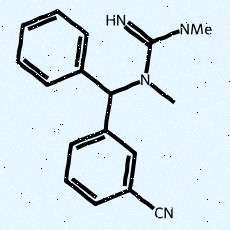 CNC(=N)N(C)C(c1ccccc1)c1cccc(C#N)c1